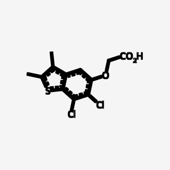 Cc1sc2c(Cl)c(Cl)c(OCC(=O)O)cc2c1C